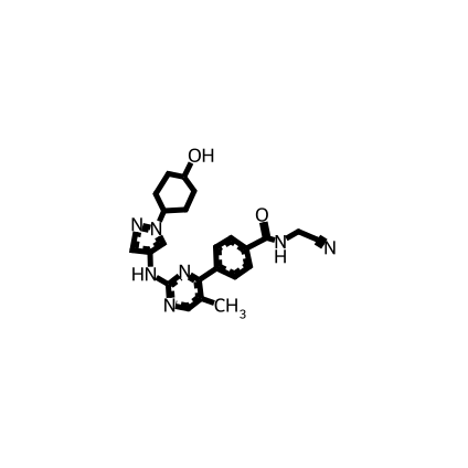 Cc1cnc(Nc2cnn(C3CCC(O)CC3)c2)nc1-c1ccc(C(=O)NCC#N)cc1